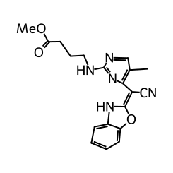 COC(=O)CCCNc1ncc(C)c(C(C#N)=C2Nc3ccccc3O2)n1